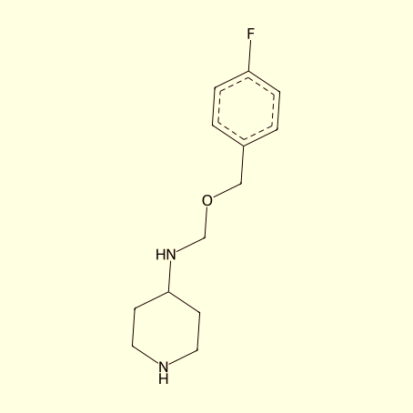 Fc1ccc(COCNC2CCNCC2)cc1